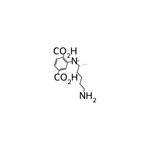 C[C@H](CCCCN)[N]c1cc(C(=O)O)ccc1C(=O)O